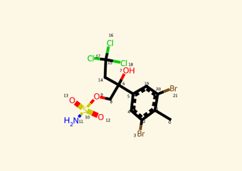 Cc1c(Br)cc(C(O)(COS(N)(=O)=O)CC(Cl)(Cl)Cl)cc1Br